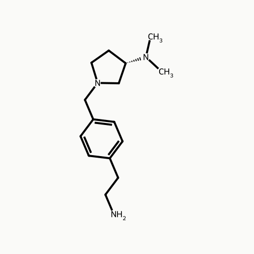 CN(C)[C@H]1CCN(Cc2ccc(CCN)cc2)C1